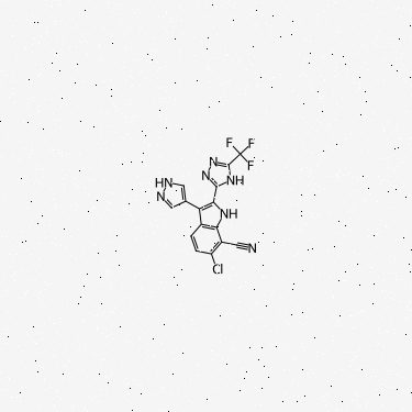 N#Cc1c(Cl)ccc2c(-c3cn[nH]c3)c(-c3nnc(C(F)(F)F)[nH]3)[nH]c12